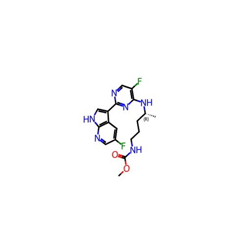 COC(=O)NCCC[C@@H](C)Nc1nc(-c2c[nH]c3ncc(F)cc23)ncc1F